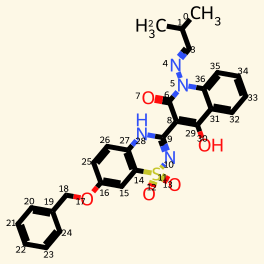 CC(C)C=Nn1c(=O)c(C2=NS(=O)(=O)c3cc(OCc4ccccc4)ccc3N2)c(O)c2ccccc21